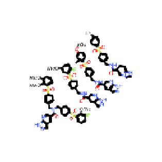 CC(C)c1ccc(S(=O)(=O)c2ccc(CNC(=O)c3ccc4nccn4c3)cc2)cc1.CCCCOc1ccc(S(=O)(=O)c2ccc(CNC(=O)c3cnc4[nH]ncc4c3)cc2)c(C)c1.COc1ccc(F)c(S(=O)(=O)c2ccc(CNC(=O)c3cnc4[nH]ncc4c3)cc2)c1.COc1cccc(S(=O)(=O)c2ccc(CN(Cc3ccc(S(=O)(=O)c4cccc(F)c4OC)cc3)C(=O)c3cnc4[nH]ncc4c3)cc2)c1OC